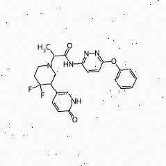 CC(C(=O)Nc1ccc(Oc2ccccc2)nn1)N1CCC(F)(F)C(c2ccc(=O)[nH]c2)C1